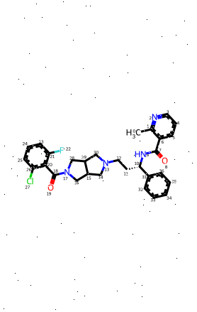 Cc1ncccc1C(=O)N[C@@H](CCN1CC2CN(C(=O)c3c(F)cccc3Cl)CC2C1)c1ccccc1